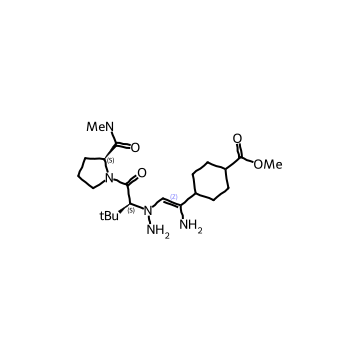 CNC(=O)[C@@H]1CCCN1C(=O)[C@@H](N(N)/C=C(\N)C1CCC(C(=O)OC)CC1)C(C)(C)C